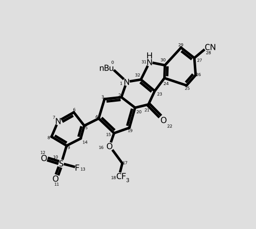 CCCCn1c2cc(-c3cncc(S(=O)(=O)F)c3)c(OCC(F)(F)F)cc2c(=O)c2c3ccc(C#N)cc3[nH]c21